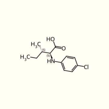 CC[C@H](C)[C@H](Nc1ccc(Cl)cc1)C(=O)O